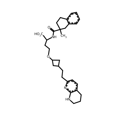 CC1(C(=O)NC(CCOC2CC(CCc3ccc4c(n3)NCCC4)C2)C(=O)O)CCc2ccccc2C1